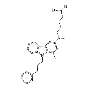 CCN(CC)CCCCN(C)c1cc2c3ccccc3n(CCCc3ccccc3)c2c(C)n1